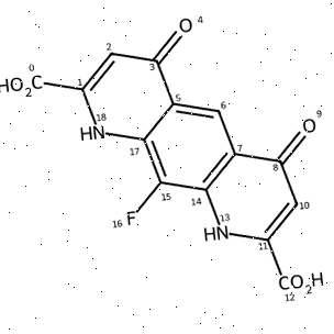 O=C(O)c1cc(=O)c2cc3c(=O)cc(C(=O)O)[nH]c3c(F)c2[nH]1